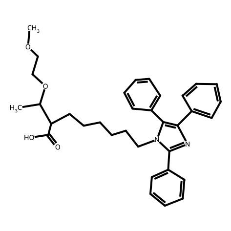 COCCOC(C)C(CCCCCCn1c(-c2ccccc2)nc(-c2ccccc2)c1-c1ccccc1)C(=O)O